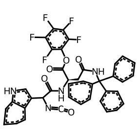 O=C=NC(C(=O)N[C@H](CC(=O)NC(c1ccccc1)(c1ccccc1)c1ccccc1)C(=O)Oc1c(F)c(F)c(F)c(F)c1F)c1c[nH]c2ccccc12